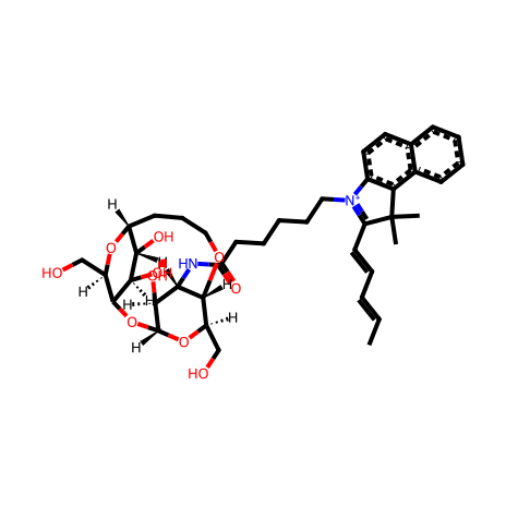 C/C=C/C=C/C1=[N+](CCCCCC(=O)N[C@H]2[C@H](O)[C@H]3OC4[C@@H](CO)O[C@H](CCCO[C@@H]2[C@@H](CO)O3)[C@H](O)[C@H]4O)c2ccc3ccccc3c2C1(C)C